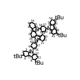 CC(C)(C)c1ccc2c(c1)c1cc(C(C)(C)C)ccc1n2-c1ccc(-n2c3ccccc3c3c2ccc2c4ccccc4n(-c4ccc(-n5c6ccc(C(C)(C)C)cc6c6cc(C(C)(C)C)ccc65)cc4)c23)cc1